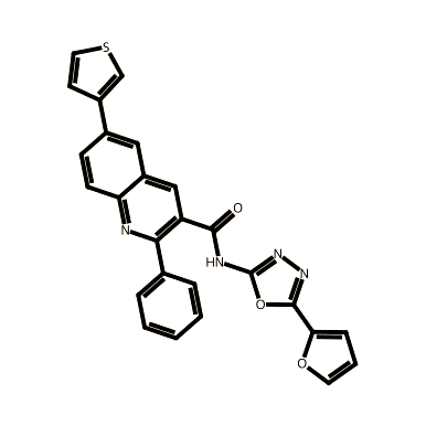 O=C(Nc1nnc(-c2ccco2)o1)c1cc2cc(-c3ccsc3)ccc2nc1-c1ccccc1